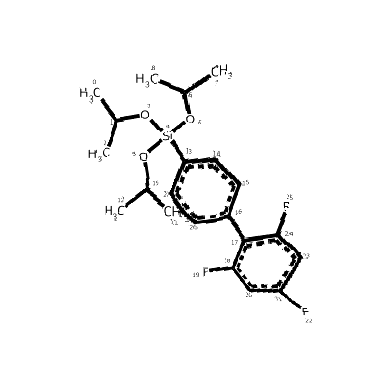 CC(C)O[Si](OC(C)C)(OC(C)C)c1ccc(-c2c(F)cc(F)cc2F)cc1